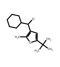 Cc1oc(C(C)(C)C)cc1C(Cl)C1CCCCC1